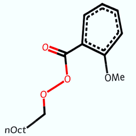 [CH2]CCCCCCCCOOC(=O)c1ccccc1OC